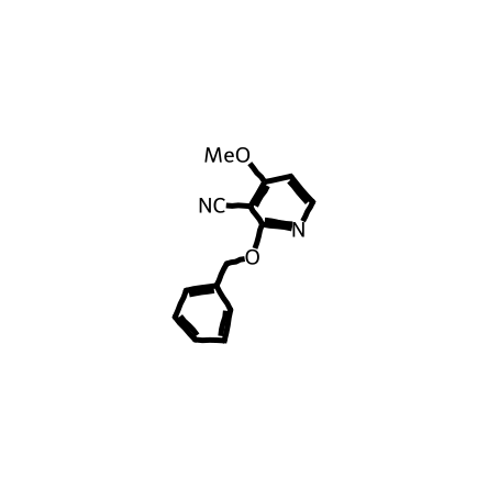 COc1ccnc(OCc2ccccc2)c1C#N